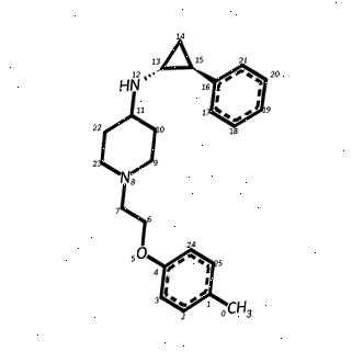 Cc1ccc(OCCN2CCC(N[C@@H]3C[C@H]3c3ccccc3)CC2)cc1